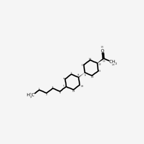 CCCCCC1CCC([C@H]2CC[C@H](C(C)=O)CC2)CC1